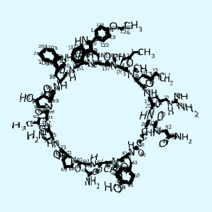 CCCC[C@H]1C(=O)N(C)[C@@H](CCCC)C(=O)N[C@@H](CCCNC(=N)N)C(=O)N[C@H](C(=O)NCC(N)=O)CSCC(=O)N[C@@H](Cc2ccc(O)cc2)C(=O)N(C)[C@@H](C)C(=O)N[C@@H](CC(N)=O)C(=O)N2CCC[C@H]2C(=O)N[C@@H](CN)C(=O)N[C@@H](CC(C)C)C(=O)N2C[C@H](O)C[C@H]2C(=O)N[C@@H](Cc2c[nH]c3ccccc23)C(=O)N[C@@H](CO)C(=O)N[C@@H](Cc2c(-c3ccc(OCC)cc3)[nH]c3ccccc23)C(=O)N1C